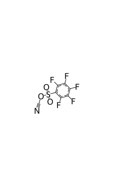 N#COS(=O)(=O)c1c(F)c(F)c(F)c(F)c1F